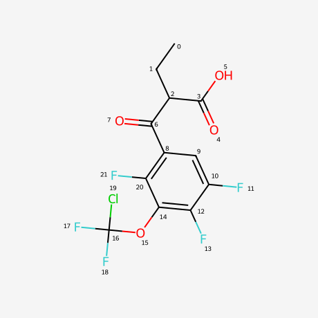 CCC(C(=O)O)C(=O)c1cc(F)c(F)c(OC(F)(F)Cl)c1F